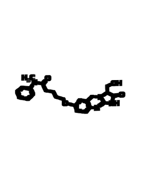 CN(C(=O)CCCCOc1ccc2c(c1)CN1C(=N2)NC(=O)C1CO)c1ccccc1